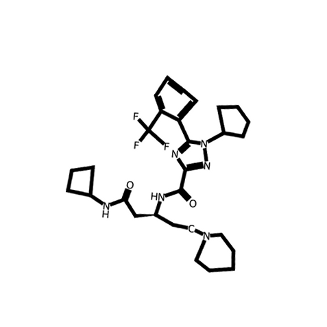 O=C(C[C@H](CCN1CCCCC1)NC(=O)c1nc(-c2ccccc2C(F)(F)F)n(C2CCCC2)n1)NC1CCC1